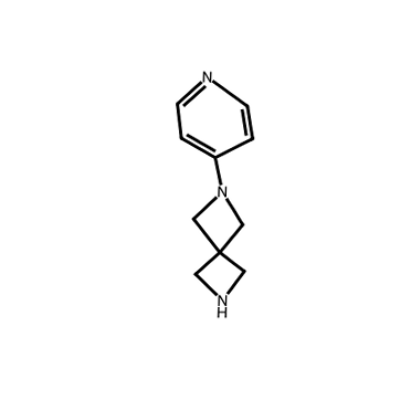 c1cc(N2CC3(CNC3)C2)ccn1